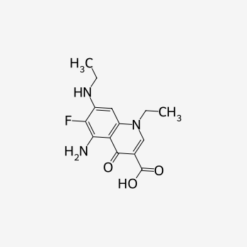 CCNc1cc2c(c(N)c1F)c(=O)c(C(=O)O)cn2CC